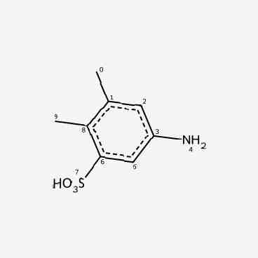 Cc1cc(N)cc(S(=O)(=O)O)c1C